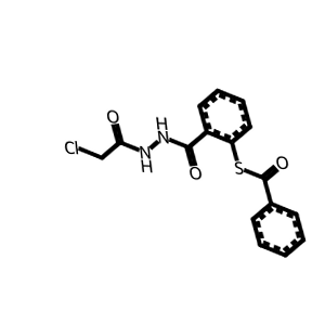 O=C(CCl)NNC(=O)c1ccccc1SC(=O)c1ccccc1